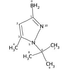 Bc1cc(C)n(C(C)(C)C)n1